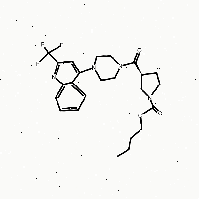 CCCCOC(=O)N1CC[C@H](C(=O)N2CCN(c3cc(C(F)(F)F)nc4ccccc34)CC2)C1